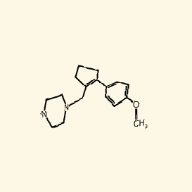 COc1ccc(C2=C(CN3CC[N]CC3)CCC2)cc1